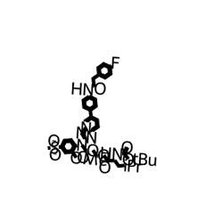 COc1cc(S(C)(=O)=O)ccc1N(C(=O)OCOC(=O)C(CC(C)C)NC(=O)OC(C)(C)C)c1nc2ccc(-c3ccc(NC(=O)Cc4ccc(F)cc4)cc3)cn2n1